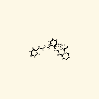 CC(C)(C)OC(=O)N1CCCCC1CCOc1ccccc1CCCCc1ccccc1